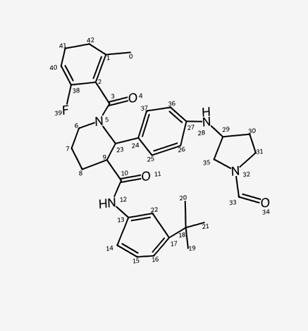 CC1=C(C(=O)N2CCCC(C(=O)Nc3cccc(C(C)(C)C)c3)C2c2ccc(NC3CCN(C=O)C3)cc2)C(F)=CCC1